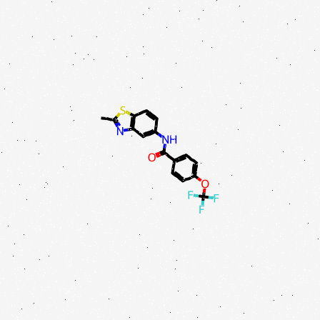 Cc1nc2cc(NC(=O)c3ccc(OC(F)(F)F)cc3)ccc2s1